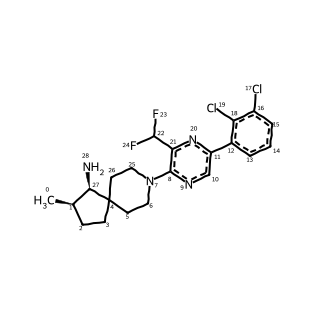 C[C@@H]1CCC2(CCN(c3ncc(-c4cccc(Cl)c4Cl)nc3C(F)F)CC2)[C@@H]1N